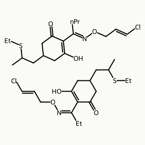 CCC/C(=N\OC/C=C/Cl)C1=C(O)CC(CC(C)SCC)CC1=O.CCSC(C)CC1CC(=O)C(/C(CC)=N\OC/C=C/Cl)=C(O)C1